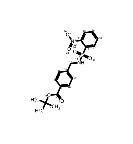 CC(C)(C)OC(=O)c1ccc(CNS(=O)(=O)c2ccccc2[N+](=O)[O-])cc1